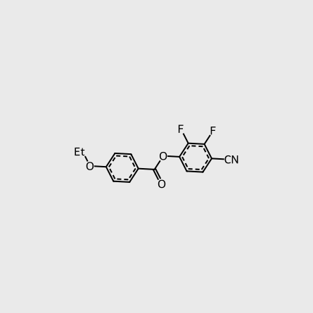 CCOc1ccc(C(=O)Oc2ccc(C#N)c(F)c2F)cc1